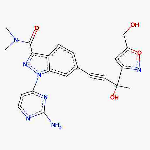 CN(C)C(=O)c1nn(-c2ccnc(N)n2)c2cc(C#CC(C)(O)c3cc(CO)on3)ccc12